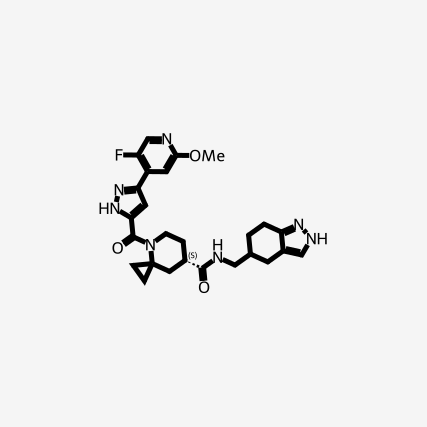 COc1cc(-c2cc(C(=O)N3CC[C@H](C(=O)NCC4CCc5n[nH]cc5C4)CC34CC4)[nH]n2)c(F)cn1